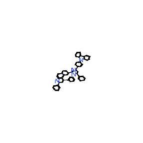 c1ccc(-c2cc(-c3ccc(-n4c5ccccc5c5ccccc54)cc3)nc(-c3ccc4ccc5nc(-c6ccccc6)cc(-c6ccccc6)c5c4c3)n2)cc1